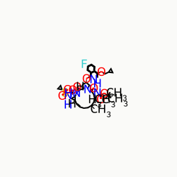 C[C@H]1CC/C=C\[C@@H]2C[C@@]2(C(=O)NS(=O)(=O)C2CC2)NC(=O)[C@@H]2C[C@@H](Oc3ncc(OCC4CC4)c4ccc(F)cc34)CN2C(=O)[C@@H](NC(=O)OC(C)(C)C)[C@H](C)C1